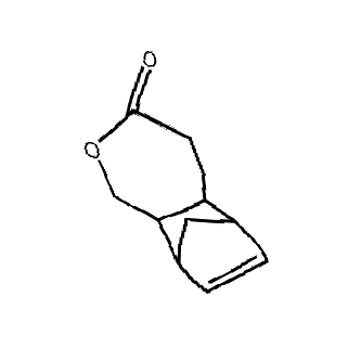 O=C1CC2C3C=CC(C3)C2CO1